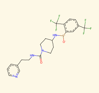 O=C(NCCc1cccnc1)N1CCC(N[S+]([O-])c2cc(C(F)(F)F)ccc2C(F)(F)F)CC1